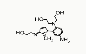 C=S1C(=NCCO)C=CC1c1cc(N)ccc1N(CCO)CCO